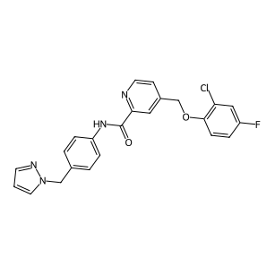 O=C(Nc1ccc(Cn2cccn2)cc1)c1cc(COc2ccc(F)cc2Cl)ccn1